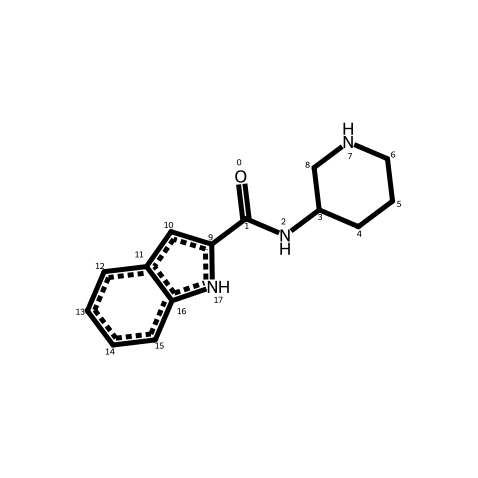 O=C(NC1CCCNC1)c1cc2ccccc2[nH]1